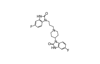 O=c1[nH]c2cc(F)ccc2n1CCCN1CCC(n2c(=O)[nH]c3cc(F)ccc32)CC1